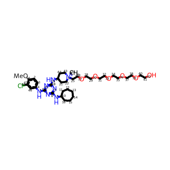 COc1ccc(Nc2nc(NC3CCCCCC3)nc(NC3CC[N+](C)(CCOCCOCCOCCOCCOCCO)CC3)n2)cc1Cl